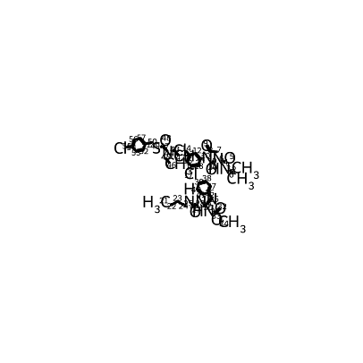 CC(C)NC(=O)N1CC(=O)N(c2cc(Cl)cc(Cl)c2)C1=O.CCCCNC(=O)n1c(NC(=O)OC)nc2ccccc21.CCN(CC)C(=O)SCc1ccc(Cl)cc1